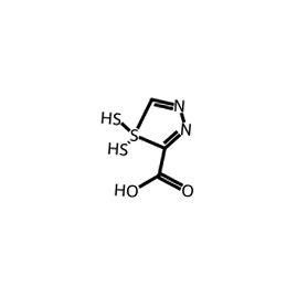 O=C(O)C1=NN=CS1(S)S